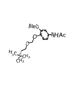 COc1cc(NC(C)=O)ccc1OCOCC[Si](C)(C)C